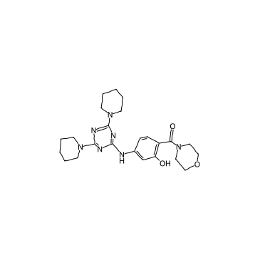 O=C(c1ccc(Nc2nc(N3CCCCC3)nc(N3CCCCC3)n2)cc1O)N1CCOCC1